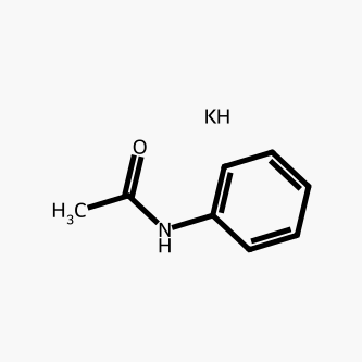 CC(=O)Nc1ccccc1.[KH]